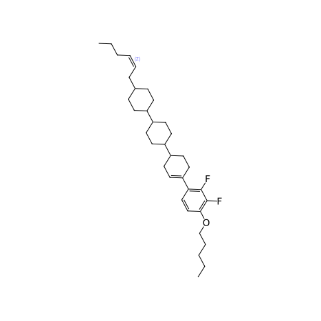 CCC/C=C\CC1CCC(C2CCC(C3CC=C(c4ccc(OCCCCC)c(F)c4F)CC3)CC2)CC1